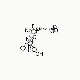 O=c1c(Cc2ccc(OCCCCCCS(=O)(=O)[O-])c(F)c2)nc2c(Cc3ccccc3)[nH]c(-c3ccc(O)cc3)cn1-2.[Na+]